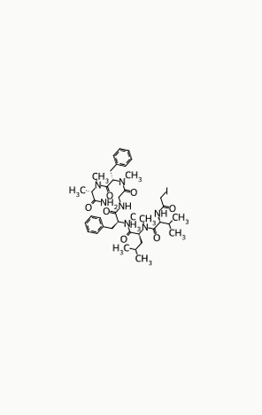 CC(C)C[C@@H](C(=O)N(C)[C@@H](Cc1ccccc1)C(=O)NCC(=O)N(C)[C@@H](Cc1ccccc1)C(=O)N(C)[C@@H](C)C(N)=O)N(C)C(=O)[C@@H](NC(=O)CI)C(C)C